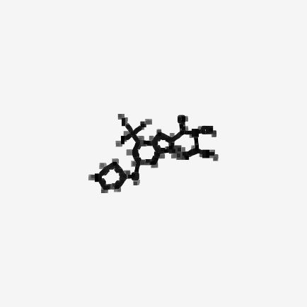 CN(C(=N)N)C(=O)c1cc2c(C(F)(F)F)cc(Oc3ccncc3)cc2[nH]1